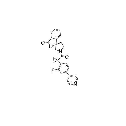 O=C1O[C@]2(CCN(C(=O)C3(c4ccc(-c5ccncc5)cc4F)CC3)C2)c2ccccc21